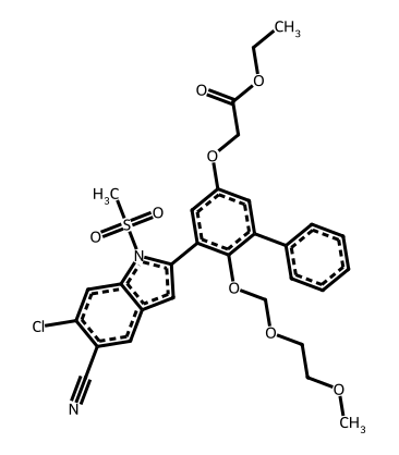 CCOC(=O)COc1cc(-c2ccccc2)c(OCOCCOC)c(-c2cc3cc(C#N)c(Cl)cc3n2S(C)(=O)=O)c1